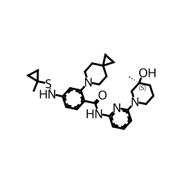 CC1(SNc2ccc(C(=O)Nc3cccc(N4CCC[C@](C)(O)C4)n3)c(N3CCC4(CC3)CC4)c2)CC1